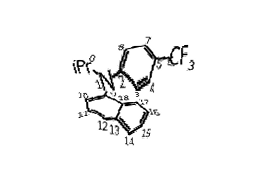 CC(C)N(c1ccc(C(F)(F)F)cc1)c1cccc2ccccc12